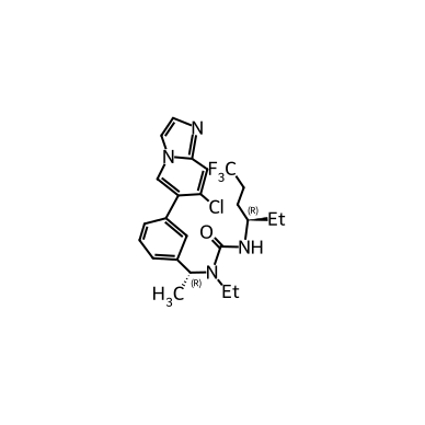 CC[C@H](CCC(F)(F)F)NC(=O)N(CC)[C@H](C)c1cccc(-c2cn3ccnc3cc2Cl)c1